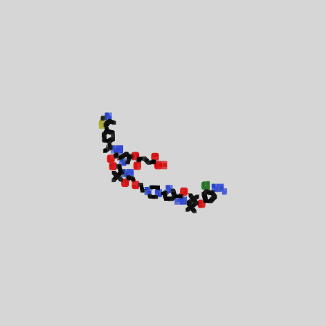 Cc1ncsc1-c1ccc([C@H](C)NC(=O)[C@@H]2C[C@@H](OC(=O)CCC(=O)O)CN2C(=O)[C@@H](NC(=O)COCCN2CCN(c3ccc(C(=O)N[C@H]4C(C)(C)[C@H](Oc5ccc(N)c(Cl)c5)C4(C)C)cn3)CC2)C(C)(C)C)cc1